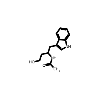 CC(=O)NC(CCO)Cc1c[nH]c2ccccc12